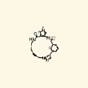 Cn1cc2c(n1)C(=O)NCCCC#CCn1cc(cn1)-c1cccc(n1)C(=O)N2